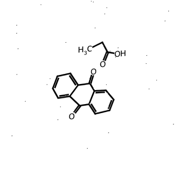 CCC(=O)O.O=C1c2ccccc2C(=O)c2ccccc21